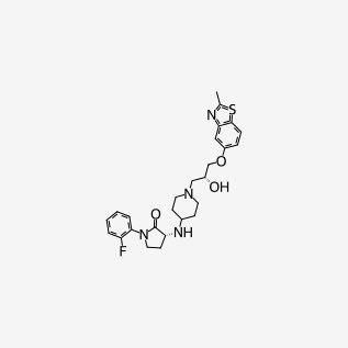 Cc1nc2cc(OC[C@H](O)CN3CCC(N[C@@H]4CCN(c5ccccc5F)C4=O)CC3)ccc2s1